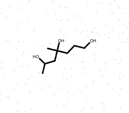 CC(O)CC(C)(O)CCCO